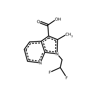 Cc1c(C(=O)O)c2cccnc2n1CC(F)F